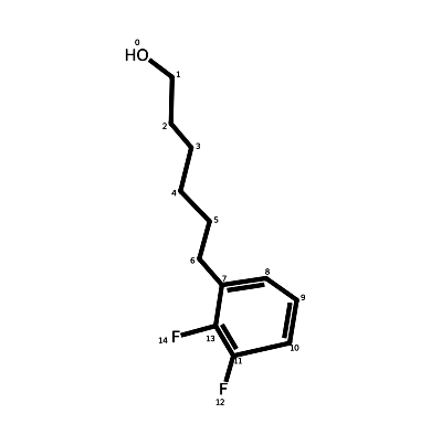 OCCCCCCc1cccc(F)c1F